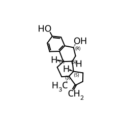 C=C1CC[C@H]2[C@@H]3C[C@@H](O)c4cc(O)ccc4[C@H]3CC[C@]12C